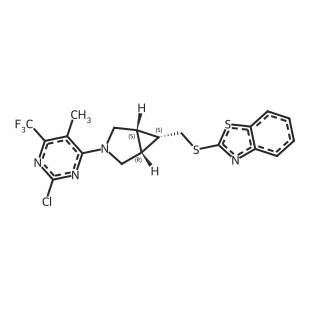 Cc1c(N2C[C@@H]3[C@H](CSc4nc5ccccc5s4)[C@@H]3C2)nc(Cl)nc1C(F)(F)F